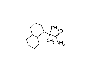 CC(C)(C(N)=O)C1CCCC2CCCCC21